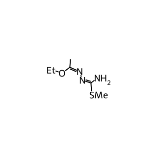 CCO/C(C)=N\N=C(/N)SC